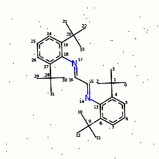 CC(C)(C)c1cccc(C(C)(C)C)c1N=CC=Nc1c(C(C)(C)C)cccc1C(C)(C)C